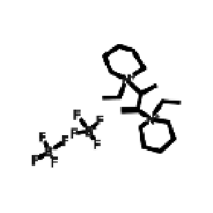 C=C(C(C)[N+]1(CC)CCCCC1)[N+]1(CC)CCCCC1.F[B-](F)(F)F.F[B-](F)(F)F